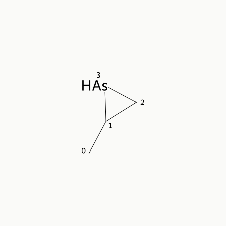 CC1C[AsH]1